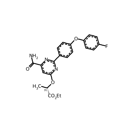 CCOC(=O)[C@H](C)Oc1cc(C(N)=O)nc(-c2ccc(Oc3ccc(F)cc3)cc2)n1